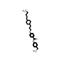 CCCCCC1CCC(CCCOc2ccc(C(=O)Oc3ccc(CC)cc3)cc2)CC1